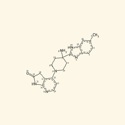 Cc1ccc2nc(C3(N)CCN(c4ccnc5c4CC(=O)N5)CC3)[nH]c2c1